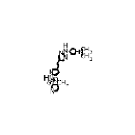 Cc1ccncc1S(=O)(=O)Nc1ccc(/C=C/c2cnc(N[C@H]3CC[C@H](N(C)C)CC3)nc2)cn1